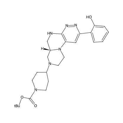 CC(C)(C)OC(=O)N1CCC(N2CCN3c4cc(-c5ccccc5O)nnc4NC[C@H]3C2)CC1